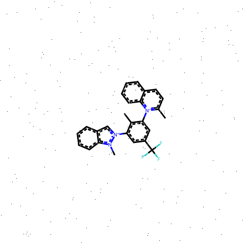 Cc1c(-[n+]2c(C)ccc3ccccc32)cc(C(F)(F)F)cc1-[n+]1cc2ccccc2n1C